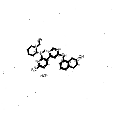 CC(C)CN1CCCC[C@H]1N(C)c1nc(C(F)(F)F)ccc1-c1cc(Nc2cccc3c2C[C@H](O)CC3)ncn1.Cl